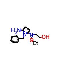 CCON(CCO)c1ccc(N)n1Cc1ccccc1